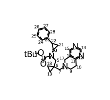 CC(C)(C)OC(=O)N(CC1(CN2CCc3ncncc3C2)CC1)[C@H]1CC1c1ccccc1